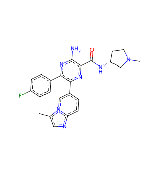 Cc1cnc2ccc(-c3nc(C(=O)N[C@@H]4CCN(C)C4)c(N)nc3-c3ccc(F)cc3)cn12